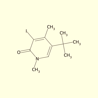 Cc1c(C(C)(C)C)cn(C)c(=O)c1I